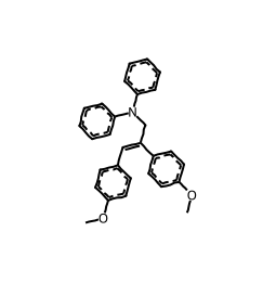 COc1ccc(/C=C(/CN(c2ccccc2)c2ccccc2)c2ccc(OC)cc2)cc1